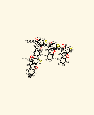 O=C([O-])C12OC1(C1CCCCC1)C1SC1C1=C2Cc2ccccc2O1.O=C([O-])C12OC1(C1CCCCC1)C1SC1C1=C2Cc2ccccc2O1.O=C([O-])C12OC1(C1CCCCC1)C1SC1C1=C2Cc2ccccc2O1.O=C([O-])C12OC1(C1CCCCC1)C1SC1C1=C2Cc2ccccc2O1.[W+4]